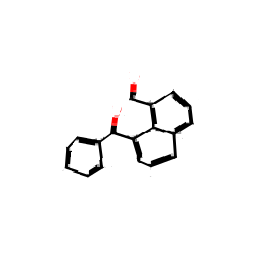 O=[C]c1cccc2cccc(C(=O)c3ccccc3)c12